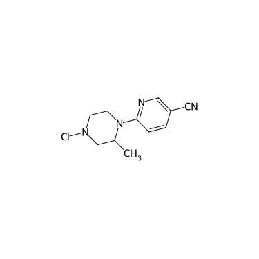 CC1CN(Cl)CCN1c1ccc(C#N)cn1